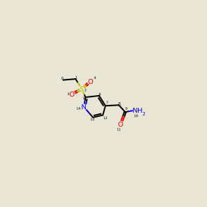 CCS(=O)(=O)c1cc([CH]C(N)=O)ccn1